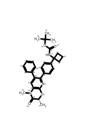 C[C@H]1Oc2nc(-c3ccc(C4(NC(=O)OC(C)(C)C)CCC4)cc3)c(-c3ccccc3)cc2N(C)C1=O